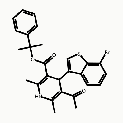 CC(=O)C1=C(C)NC(C)=C(C(=O)OC(C)(C)c2ccccc2)C1c1csc2c(Br)cccc12